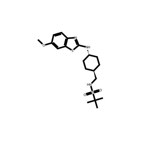 COc1ccc2nc(N[C@H]3CC[C@H](CNS(=O)(=O)C(C)(C)C)CC3)sc2c1